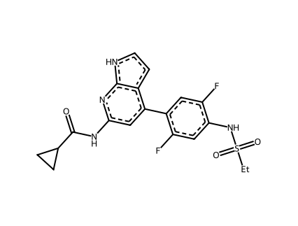 CCS(=O)(=O)Nc1cc(F)c(-c2cc(NC(=O)C3CC3)nc3[nH]ccc23)cc1F